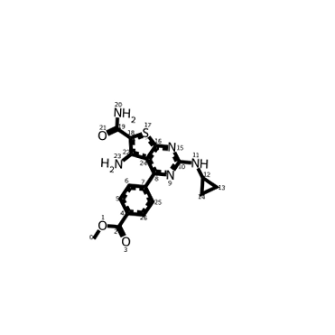 COC(=O)c1ccc(-c2nc(NC3CC3)nc3sc(C(N)=O)c(N)c23)cc1